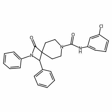 O=C(Nc1cccc(Cl)c1)N1CCC2(CC1)C(=O)N(c1ccccc1)C2c1ccccc1